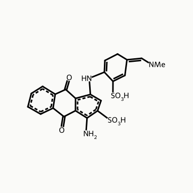 CNC=C1C=C(S(=O)(=O)O)C(Nc2cc(S(=O)(=O)O)c(N)c3c2C(=O)c2ccccc2C3=O)=CC1